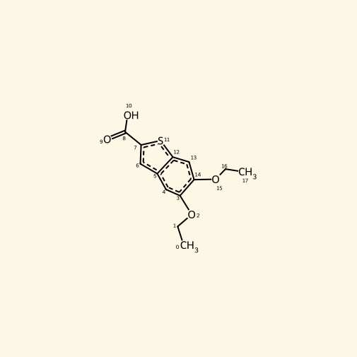 CCOc1cc2cc(C(=O)O)sc2cc1OCC